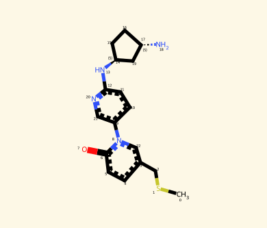 CSCc1ccc(=O)n(-c2ccc(N[C@H]3CC[C@H](N)C3)nc2)c1